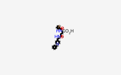 O=C(CCC(NC(=O)c1cccs1)C(=O)O)NCCC1CCN(Cc2ccccc2)CC1